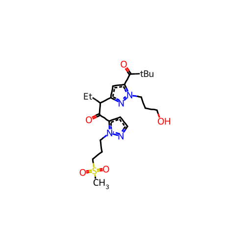 CCC(C(=O)c1ccnn1CCCS(C)(=O)=O)c1cc(C(=O)C(C)(C)C)n(CCCO)n1